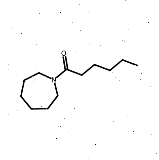 CCCCCC(=O)N1CCCCCC1